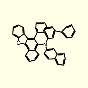 c1ccc(-c2cccc(N(c3ccc4ccccc4c3)c3c(-c4ccccc4)c4c5ccccc5oc4c4ccccc34)c2)cc1